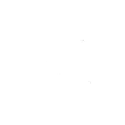 COc1ccc([N+](=O)[O-])cc1CC(=O)C(=O)OC(C)C